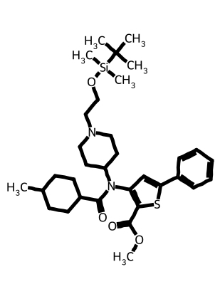 COC(=O)c1sc(-c2ccccc2)cc1N(C(=O)C1CCC(C)CC1)C1CCN(CCO[Si](C)(C)C(C)(C)C)CC1